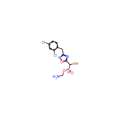 NCO[PH](=O)C(S)c1nc(Cc2ccc(Cl)cc2Cl)no1